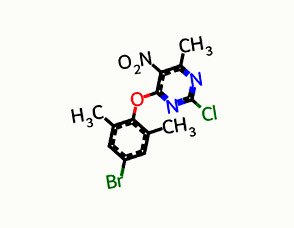 Cc1cc(Br)cc(C)c1Oc1nc(Cl)nc(C)c1[N+](=O)[O-]